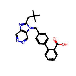 CC(C)(C)Cc1nc2cnncc2n1Cc1ccc(-c2ccccc2C(=O)O)cc1